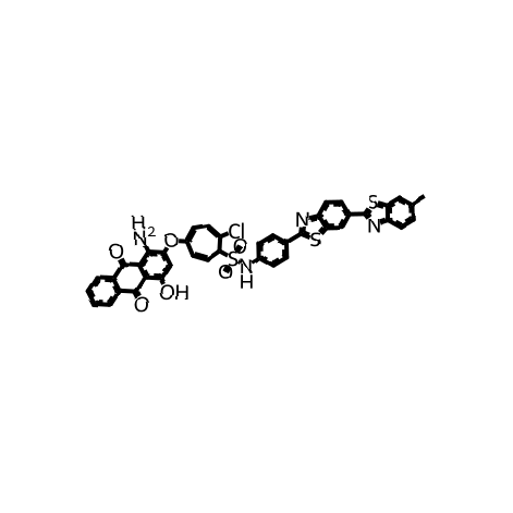 Cc1ccc2nc(-c3ccc4nc(-c5ccc(NS(=O)(=O)C6C=CC(Oc7cc(O)c8c(c7N)C(=O)c7ccccc7C8=O)=CC=C6Cl)cc5)sc4c3)sc2c1